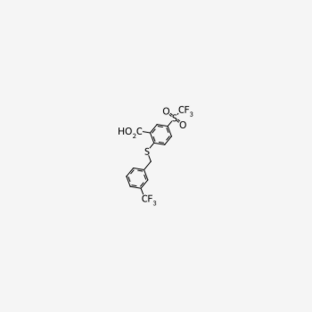 O=C(O)c1cc(S(=O)(=O)C(F)(F)F)ccc1SCc1cccc(C(F)(F)F)c1